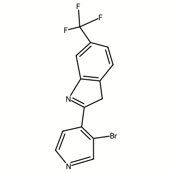 FC(F)(F)c1ccc2c(c1)N=C(c1ccncc1Br)C2